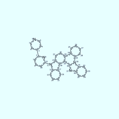 c1cc(-c2ccncc2)nc(-n2c3ccccc3c3c4c(ccc32)c2ccccc2n2c3ccccc3nc42)c1